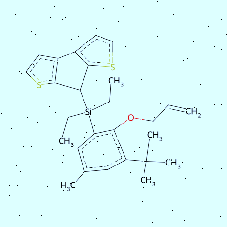 C=CCOc1c(C(C)(C)C)cc(C)cc1[Si](CC)(CC)C1c2sccc2-c2ccsc21